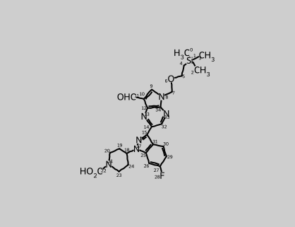 C[Si](C)(C)CCOCn1cc(C=O)c2nc(-c3nn(C4CCN(C(=O)O)CC4)c4cc(F)ccc34)cnc21